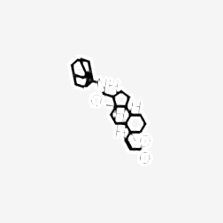 C[C@]12C=CC(=O)OC1CC[C@@H]1[C@H]2CC[C@]2(C)C(C(=O)NC3C4CC5CC(C4)CC3C5)CC[C@@H]12